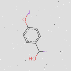 OC(I)c1ccc(OI)cc1